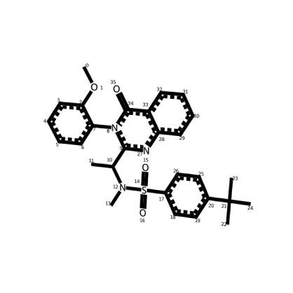 COc1ccccc1-n1c(C(C)N(C)S(=O)(=O)c2ccc(C(C)(C)C)cc2)nc2ccccc2c1=O